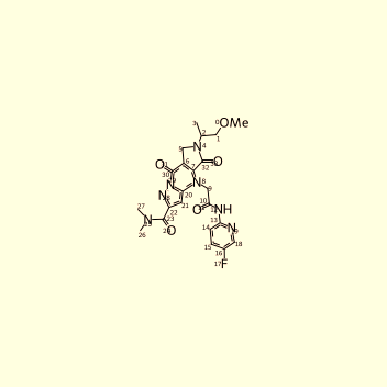 COCC(C)N1Cc2c(n(CC(=O)Nc3ccc(F)cn3)c3cc(C(=O)N(C)C)nn3c2=O)C1=O